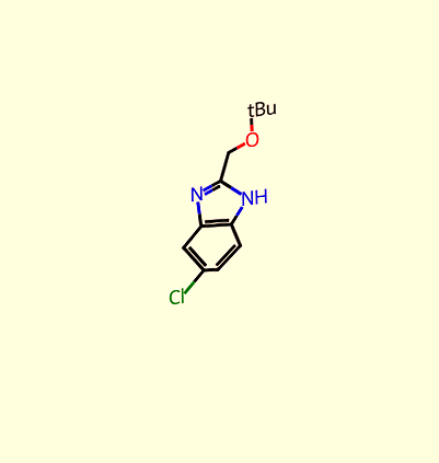 CC(C)(C)OCc1nc2cc(Cl)ccc2[nH]1